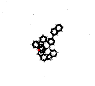 C1=C(N(c2ccc(-c3ccc4ccccc4c3)cc2)c2cccc3c2-c2ccccc2C3)c2c(sc3ccc4c(c23)-c2ccc3ccccc3c2C4)CC1